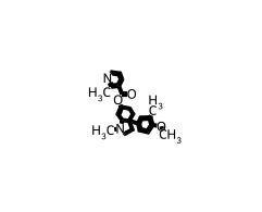 COc1ccc(C23CCC(OC(=O)c4cccnc4C)=CC2N(C)CC3)cc1C